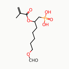 C=C(C)C(=O)OC(CCCCCOC=O)CP(=O)(O)O